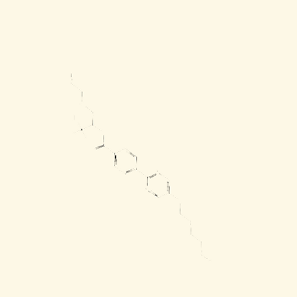 CCCCCCOc1cnc(-c2ccc(C(=O)OC(COCCC)C(F)(F)F)cc2)nc1